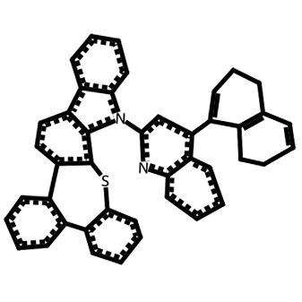 C1=CC2=C(CC1)C(c1cc(-n3c4ccccc4c4ccc5c(c43)Sc3ccccc3-c3ccccc3-5)nc3ccccc13)=CCC2